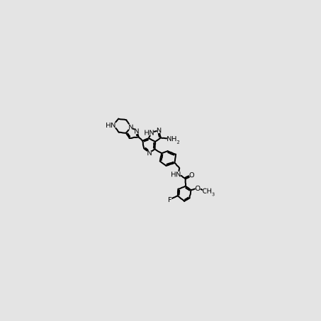 COc1ccc(F)cc1C(=O)NCc1ccc(-c2ncc(-c3cc4n(n3)CCNC4)c3[nH]nc(N)c23)cc1